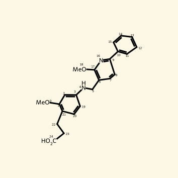 COc1cc(NCc2ccc(-c3ccccc3)nc2OC)ccc1CCC(=O)O